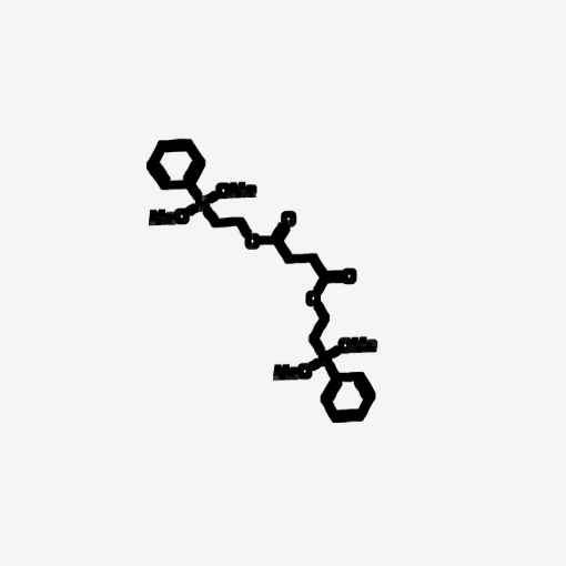 CO[Si](CCOC(=O)CCC(=O)OCC[Si](OC)(OC)c1ccccc1)(OC)c1ccccc1